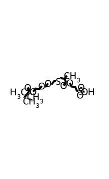 CCC(C)(C)C(=O)OCCOCOCCSCC(C)C(=O)OCCCS(=O)(=O)O